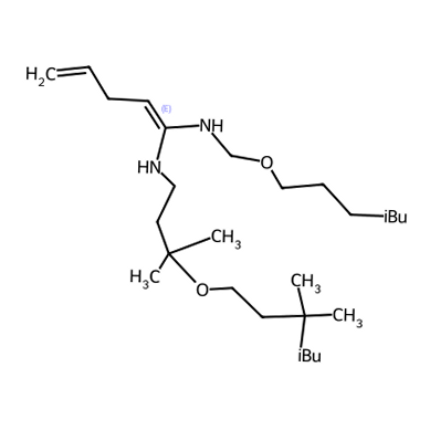 C=CC/C=C(\NCCC(C)(C)OCCC(C)(C)C(C)CC)NCOCCCC(C)CC